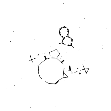 COc1cc2ccccc2c(O[C@@H]2C[C@H]3C(=O)N[C@]4(C(=O)NS(=O)(=O)C5(C)CC5)C[C@H]4/C=C\CC[C@H](C)C[C@@H](C)[C@H](N(C(=O)O)C(C)(C)C(F)(F)F)C(=O)N3C2)n1